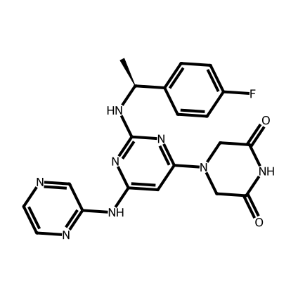 C[C@H](Nc1nc(Nc2cnccn2)cc(N2CC(=O)NC(=O)C2)n1)c1ccc(F)cc1